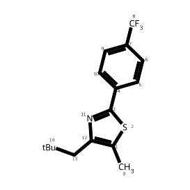 Cc1sc(-c2ccc(C(F)(F)F)cc2)nc1CC(C)(C)C